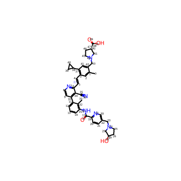 Cc1cc(/C=C/c2nccc(-c3cccc(NC(=O)c4ccc(CN5CC[C@@H](O)C5)cn4)c3C)c2C#N)c(C2CC2)cc1CN1CC[C@@H](C(=O)O)C1